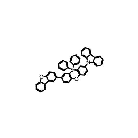 c1ccc([Si]2(c3ccccc3)c3cc(-c4ccc5oc6ccccc6c5c4)ccc3Oc3ccc(-n4c5ccccc5c5ccccc54)cc32)cc1